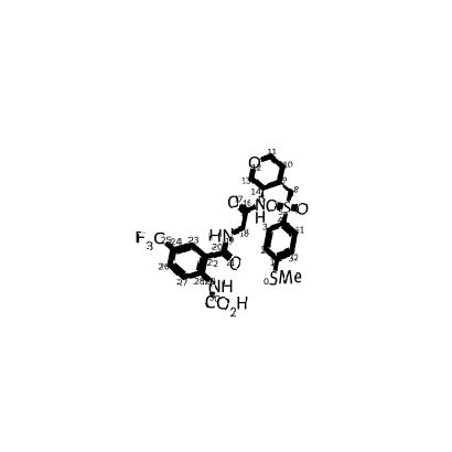 CSc1ccc(S(=O)(=O)C[C@@H]2CCOC[C@@H]2NC(=O)CNC(=O)c2cc(C(F)(F)F)ccc2NC(=O)O)cc1